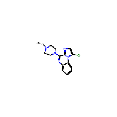 O=C(O)N1CCN(c2nc3ccccc3n3c(Br)cnc23)CC1